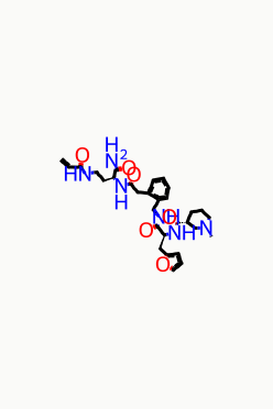 C=CC(=O)NCC[C@H](NC(=O)Cc1ccccc1CNC(=O)[C@H](Cc1ccco1)NC(=O)[C@@H]1CCCN(C)C1)C(N)=O